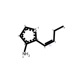 CC/C=C\c1sccc1N